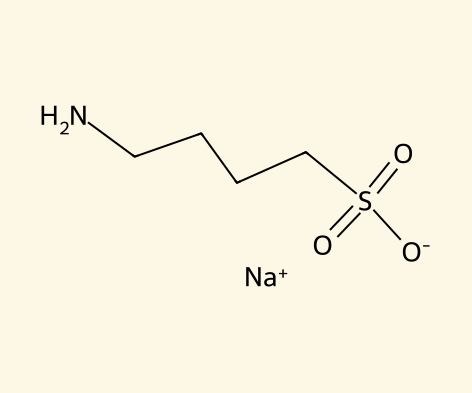 NCCCCS(=O)(=O)[O-].[Na+]